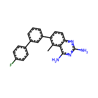 Cc1c(-c2cccc(-c3ccc(F)cc3)c2)ccc2nc(N)nc(N)c12